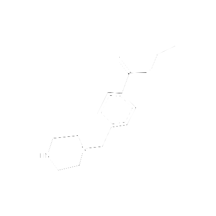 CCOC(=O)c1ccc(CN2CCNCC2)cc1